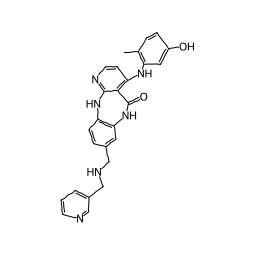 Cc1ccc(O)cc1Nc1ccnc2c1C(=O)Nc1cc(CNCc3cccnc3)ccc1N2